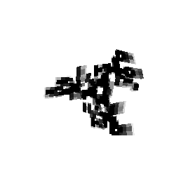 CC(O)(CO)Nc1nc(NC(C)(O)CO)nc(NC(C)(O)CO)n1